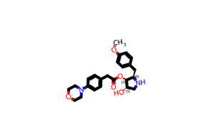 COc1ccc(C[C@H]2NC[C@H](O)[C@H]2OC(=O)Cc2ccc(N3CCOCC3)cc2)cc1